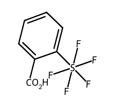 O=C(O)c1ccccc1S(F)(F)(F)(F)F